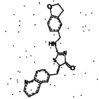 O=C1N=C(NCc2ccc3c(c2)CCO3)S/C1=C\c1ccc2ncccc2c1